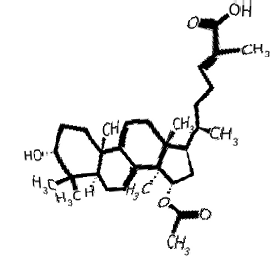 CC(=O)O[C@H]1C[C@H]([C@H](C)CC/C=C(\C)C(=O)O)[C@@]2(C)CC=C3C(=CC[C@H]4C(C)(C)[C@H](O)CC[C@]34C)[C@]12C